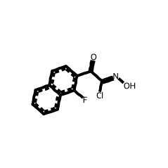 O=C(C(Cl)=NO)c1ccc2ccccc2c1F